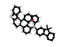 CC1(C)c2ccccc2-c2ccc(N(c3ccccc3)c3cccc4c3-c3ccccc3C3c5c(oc6ccccc56)C=CC43)cc21